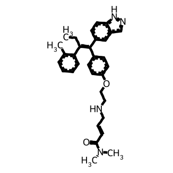 CC/C(=C(/c1ccc(OCCNC/C=C/C(=O)N(C)C)cc1)c1ccc2[nH]ncc2c1)c1ccccc1C